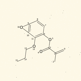 C=C(C)C(=O)Oc1ccc2c(c1OCCC)O2